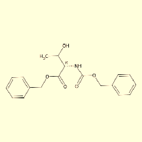 CC(O)[C@H](NC(=O)OCc1ccccc1)C(=O)OCc1ccccc1